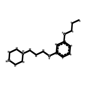 CCCOc1cccc(OCCCN2CCOCC2)c1